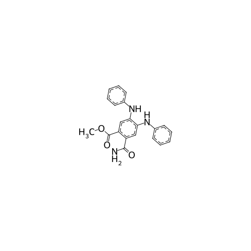 COC(=O)c1cc(Nc2ccccc2)c(Nc2ccccc2)cc1C(N)=O